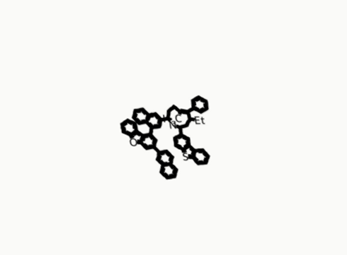 CCC1CC(c2ccc3sc4ccccc4c3c2)/N=C(/c2cc(-c3cc(-c4ccc5ccccc5c4)cc4oc5ccccc5c34)c3ccccc3c2)CC/C(C)=C/1c1ccccc1